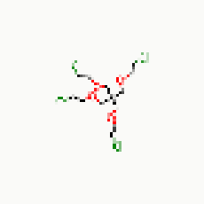 ClCCOCC(COCCCl)(COCCCl)COCCCl